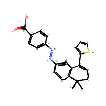 CC1(C)CC=C(c2cccs2)c2cc(N=Nc3ccc(C(=O)O)cc3)ccc21